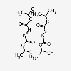 CC(C)OC(=O)N=NC(=O)OC(C)C.CC(C)OC(=O)N=NC(=O)OC(C)C